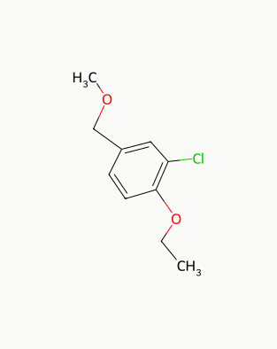 CCOc1ccc(COC)cc1Cl